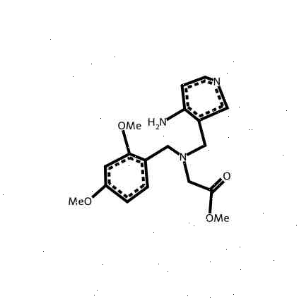 COC(=O)CN(Cc1cnccc1N)Cc1ccc(OC)cc1OC